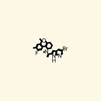 C=C(c1cc2cc(Br)cnc2[nH]1)N(C)C1CCCC(C)=C1c1cc(F)c(C)cc1C(C)=O